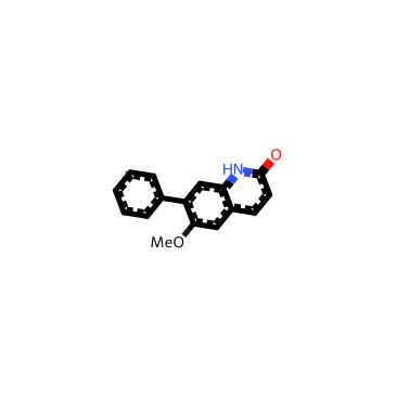 COc1cc2ccc(=O)[nH]c2cc1-c1c[c]ccc1